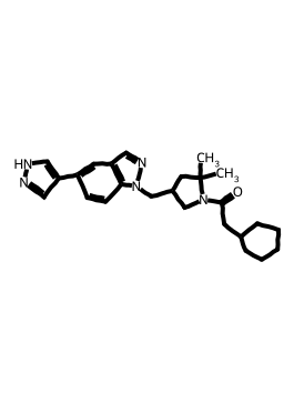 CC1(C)CC(Cn2ncc3cc(-c4cn[nH]c4)ccc32)CN1C(=O)CC1CCCCC1